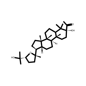 CC(=O)[C@@]1(O)CC[C@@]2(C)C(CC[C@]3(C)[C@@H]2CC[C@@H]2[C@@H]([C@]4(C)CC[C@H](C(C)(C)O)O4)CC[C@@]23C)C1(C)C